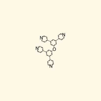 c1cc(-c2cc(Oc3cc(-c4ccncc4)cc(-c4ccncc4)c3)cc(-c3ccncc3)c2)ccn1